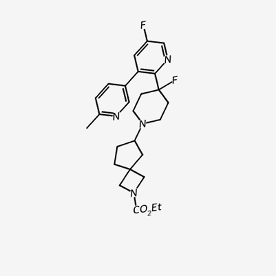 CCOC(=O)N1CC2(CCC(N3CCC(F)(c4ncc(F)cc4-c4ccc(C)nc4)CC3)C2)C1